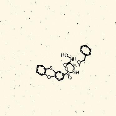 O=C(NO)[C@H](COCc1ccccc1)NS(=O)(=O)c1ccc2c(c1)Sc1ccccc1O2